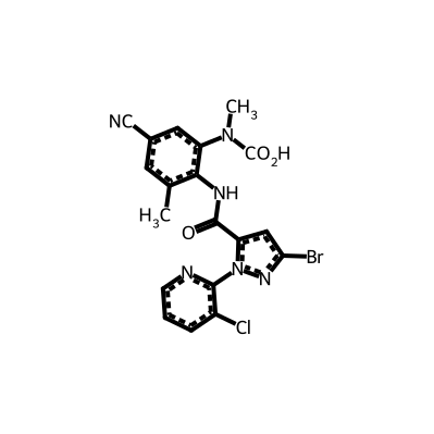 Cc1cc(C#N)cc(N(C)C(=O)O)c1NC(=O)c1cc(Br)nn1-c1ncccc1Cl